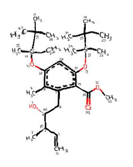 C=C[C@@H](C)[C@H](O)Cc1c(C)c(O[Si](C)(C)C(C)(C)C)cc(O[Si](C)(C)C(C)(C)C)c1C(=O)OC